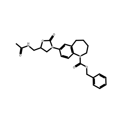 CC(=O)NCC1CN(c2ccc3c(c2)CCCCN3C(=O)OCc2ccccc2)C(=O)O1